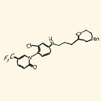 O=c1ccc(C(F)(F)F)cn1-c1ccc(NCCCC2CNCCO2)cc1Cl